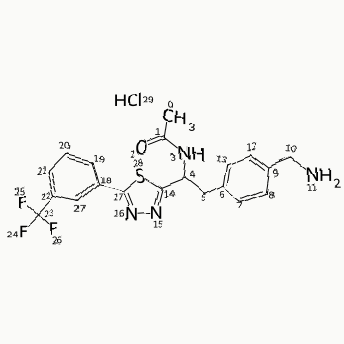 CC(=O)NC(Cc1ccc(CN)cc1)c1nnc(-c2cccc(C(F)(F)F)c2)s1.Cl